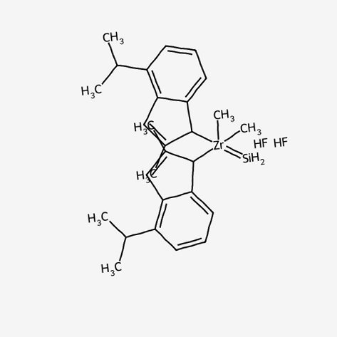 CC1=Cc2c(C(C)C)cccc2[CH]1[Zr]([CH3])([CH3])(=[SiH2])[CH]1C(C)=Cc2c(C(C)C)cccc21.F.F